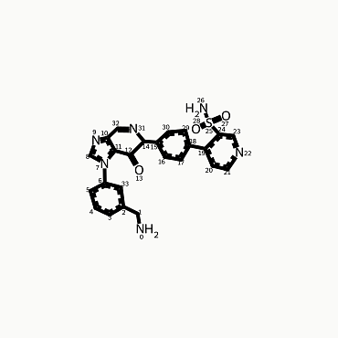 NCc1cccc(-n2cnc3c2C(=O)C(c2ccc(-c4ccncc4S(N)(=O)=O)cc2)N=C3)c1